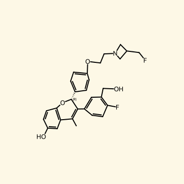 CC1=C(c2ccc(F)c(CO)c2)[C@@H](c2ccc(OCCN3CC(CF)C3)cc2)Oc2ccc(O)cc21